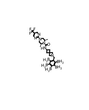 Bc1c(B)c(B)c(CN2CC3(CC(NC(=O)N4[C@H](C)CN(c5ncc(C(F)(F)F)cn5)C[C@@H]4C)C3)C2)c(B)c1B